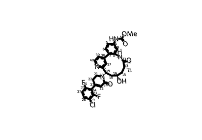 COC(=O)Nc1ccc2c(c1)NC(=O)[C@H](C)C[C@@H](O)C[C@H](N1CCC(c3c(F)ccc(Cl)c3F)=CC1=O)c1cc-2ccn1